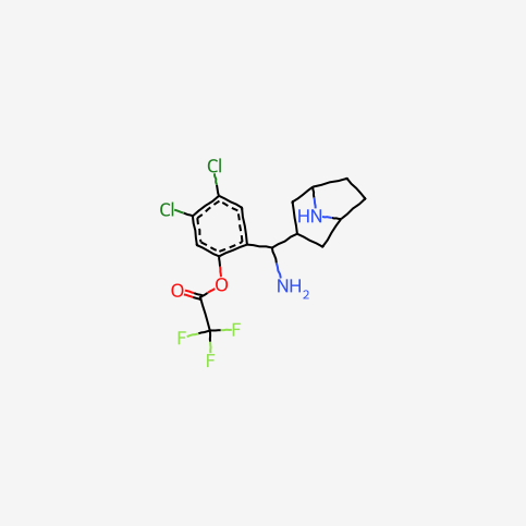 NC(c1cc(Cl)c(Cl)cc1OC(=O)C(F)(F)F)C1CC2CCC(C1)N2